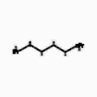 CCCCCC[CH]C(C)C